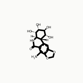 Nc1c2c(cc3c1C(=O)N[C@H]1[C@H](O)[C@H](O)[C@@H](O)[C@H](O)[C@H]31)OCO2